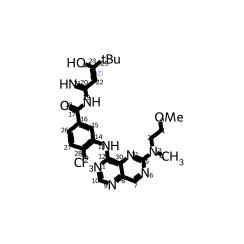 COCCN(C)c1ncc2ncnc(Nc3cc(C(=O)NC(=N)/C=C(\O)C(C)(C)C)ccc3C(F)(F)F)c2n1